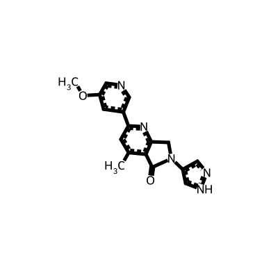 COc1cncc(-c2cc(C)c3c(n2)CN(c2cn[nH]c2)C3=O)c1